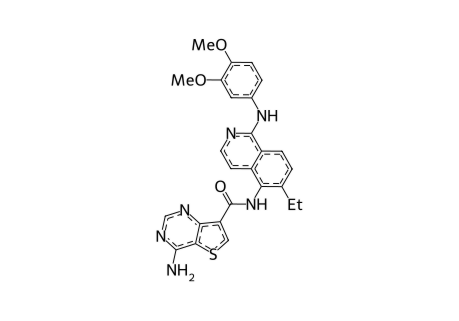 CCc1ccc2c(Nc3ccc(OC)c(OC)c3)nccc2c1NC(=O)c1csc2c(N)ncnc12